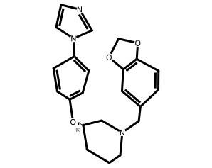 c1cn(-c2ccc(O[C@H]3CCCN(Cc4ccc5c(c4)OCO5)C3)cc2)cn1